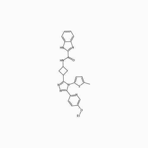 CCOc1ccc(-c2nnc(C3CC(NC(=O)c4nc5ccccc5[nH]4)C3)n2-c2ccc(C)s2)nc1